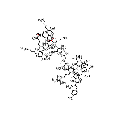 CSCC[C@H](NC(=O)[C@H](CCC(=O)O)NC(=O)[C@H](CCCCN)NC(=O)[C@H](C)NC(=O)CNC(=O)[C@H](CO)NC(=O)[C@H](CO)NC(=O)CNC(=O)[C@@H](NC(=O)[C@H](CCCNC(=N)N)NC(=O)[C@H](CO)NC(=O)[C@@H](NC(=O)[C@@H](NC(=O)[C@H](CO)NC(=O)[C@H](CO)NC(=O)[C@@H](NC(=O)[C@@H](N)Cc1ccc(O)cc1)C(C)C)C(C)C)[C@@H](C)O)[C@@H](C)O)C(=O)N[C@@H](CCCCN)C(=O)N[C@@H](CC(C)C)C(=O)N[C@@H](CCCCN)C(=O)O